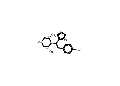 C[C@@H]1CNC[C@H](C)N1C(Cc1ccc(C#N)cc1)c1cnc[nH]1